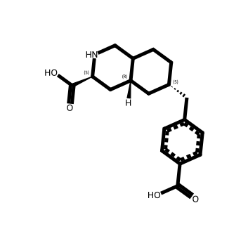 O=C(O)c1ccc(C[C@H]2CCC3CN[C@H](C(=O)O)C[C@H]3C2)cc1